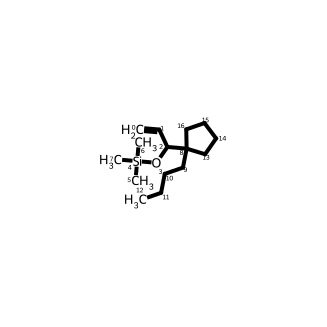 C=CC(O[Si](C)(C)C)C1(CCCC)CCCC1